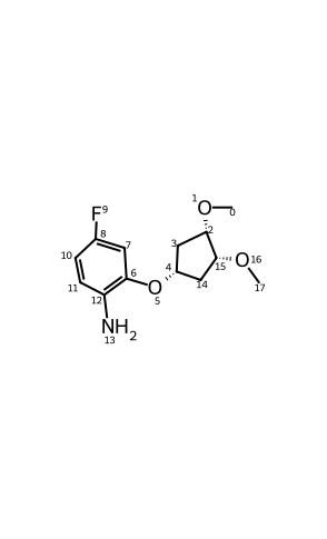 CO[C@H]1C[C@@H](Oc2cc(F)ccc2N)C[C@H]1OC